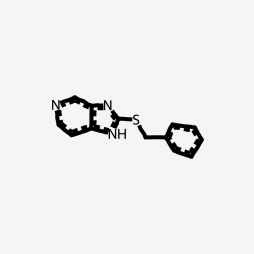 c1ccc(CSc2nc3cnccc3[nH]2)cc1